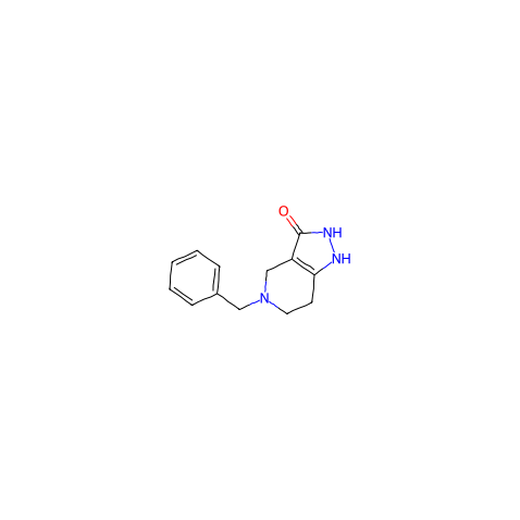 O=c1[nH][nH]c2c1CN(Cc1ccccc1)CC2